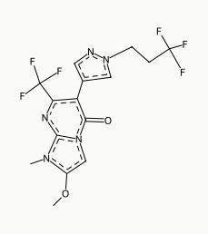 COc1cn2c(=O)c(-c3cnn(CCC(F)(F)F)c3)c(C(F)(F)F)nc2n1C